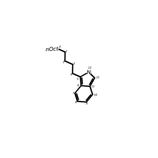 CCCCCCCCCCCCC1=c2ccccc2=C[N]1